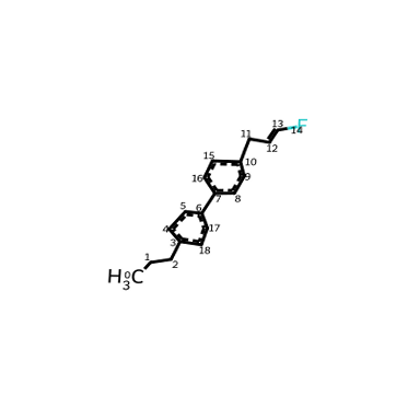 CCCc1ccc(-c2ccc(CC=CF)cc2)cc1